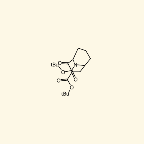 CC(C)(C)OC(=O)C1CC2CCCC(C1=O)N2C(=O)OC(C)(C)C